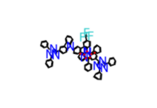 FC(F)(F)c1ccc(-n2c3ccccc3c3cc(-c4nc(-c5ccccc5)nc(-c5ccccc5)n4)ccc32)c(-c2cc(-n3c4ccccc4c4cc(-c5nc(-c6ccccc6)nc(-c6ccccc6)n5)ccc43)ccc2-c2nc(-c3ccccc3)cc(-c3ccccc3)n2)c1